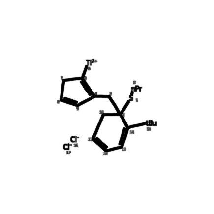 CCCSC1(CC2=[C]([Ti+2])CC=C2)CC=CC=C1C(C)(C)C.[Cl-].[Cl-]